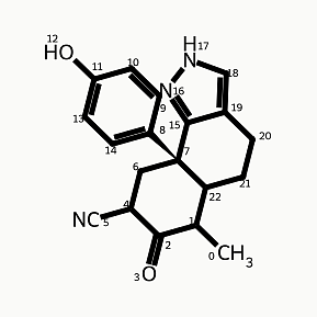 CC1C(=O)C(C#N)C[C@]2(c3ccc(O)cc3)c3n[nH]cc3CCC12